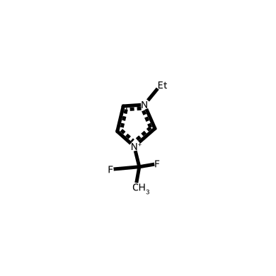 CCn1cc[n+](C(C)(F)F)c1